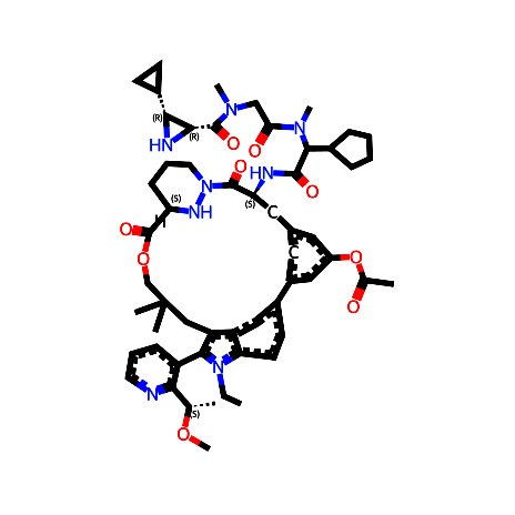 CCn1c(-c2cccnc2[C@H](C)OC)c2c3cc(ccc31)-c1cc(cc(OC(C)=O)c1)C[C@H](NC(=O)C(C1CCCC1)N(C)C(=O)CN(C)C(=O)[C@@H]1N[C@@H]1C1CC1)C(=O)N1CCC[C@H](N1)C(=O)OCC(C)(C)C2